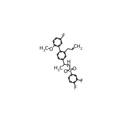 C=CCc1cc(C(C)NS(=O)(=O)c2ccc(F)c(F)c2)ccc1-c1cc(F)ccc1OC